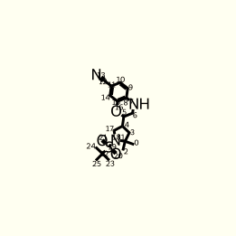 CC1(C)CC(C2CNc3ccc(C#N)cc3O2)CN1S(=O)(=O)C(C)(C)C